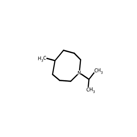 CC1CCCN(C(C)C)CCC1